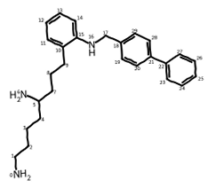 NCCCCC(N)CCCc1ccccc1NCc1ccc(-c2ccccc2)cc1